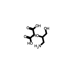 NCC(O)CO.O=C(O)CC(=O)O